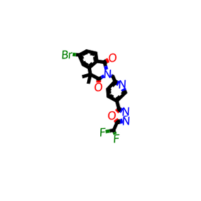 CC1(C)C(=O)N(Cc2ccc(-c3nnc(C(F)F)o3)cn2)C(=O)c2ccc(Br)cc21